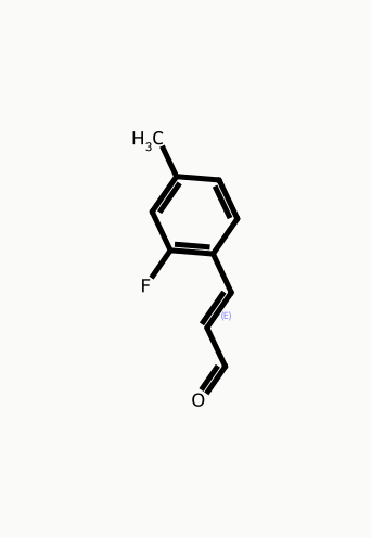 Cc1ccc(/C=C/C=O)c(F)c1